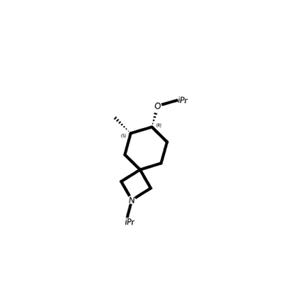 CC(C)O[C@@H]1CCC2(C[C@@H]1C)CN(C(C)C)C2